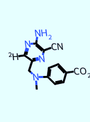 [2H]c1nc(N)c(C#N)nc1CN(C)c1ccc(C(=O)O)cc1